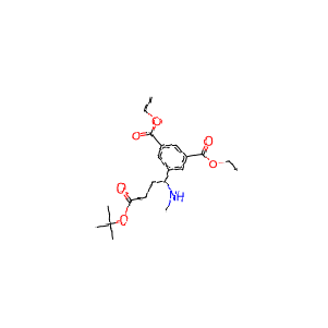 CCOC(=O)c1cc(C(=O)OCC)cc(C(CCC(=O)OC(C)(C)C)NC)c1